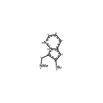 CNCc1c(C(C)(C)C)cc2cccnn12